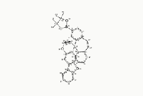 CC1(C)OB(c2ccc3c(c2)C2(c4ccccc4C=C3)c3ccccc3Oc3cc4c(cc32)oc2ccccc24)OC1(C)C